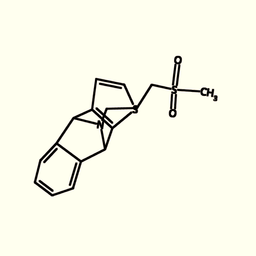 CS(=O)(=O)CCCN1C2c3ccccc3C1c1sccc12